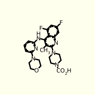 Cc1c(N2CCN(C(=O)O)CC2)nc2cc(F)cc(F)c2c1Nc1cccc(N2CCOCC2)n1